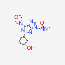 CNC(=O)Cn1cnc2c(N3CCOCC3)nc(-c3cccc(O)c3)nc21